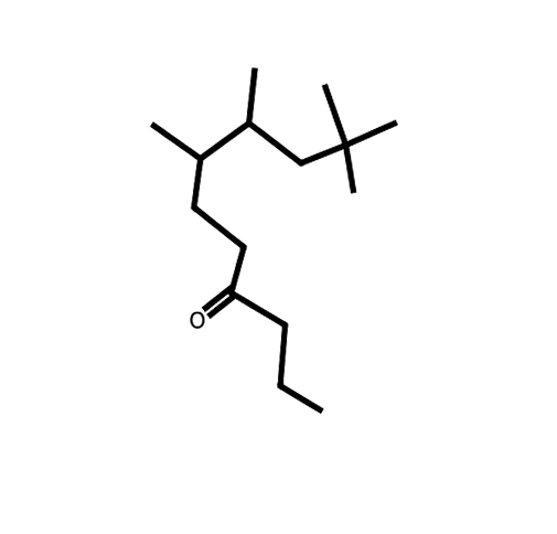 CCCC(=O)CCC(C)C(C)CC(C)(C)C